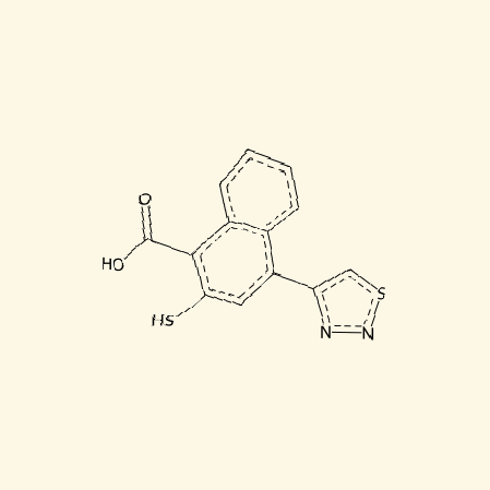 O=C(O)c1c(S)cc(-c2csnn2)c2ccccc12